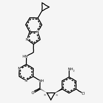 Nc1cc(Cl)cc([C@H]2C[C@@H]2C(=O)Nc2cc(NCc3cn4cc(C5CC5)ccc4n3)ncn2)c1